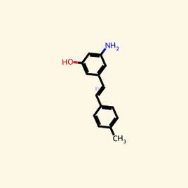 Cc1ccc(/C=C/c2cc(N)cc(O)c2)cc1